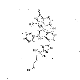 CC(C)(CCCCO)c1noc(-c2cnc(Nc3ccc4c(c3)C(C)(C)OC4=O)nc2N[C@H](CO)c2ccccc2)n1